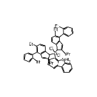 CCc1ccccc1-c1c(CC)ccc2c1C=C(C(C)C)[CH]2[Zr]([Cl])([Cl])([c]1cccc2c1[SiH2]c1ccccc1-2)[CH]1C(C(C)C)=Cc2c1ccc(CC)c2-c1ccccc1CC